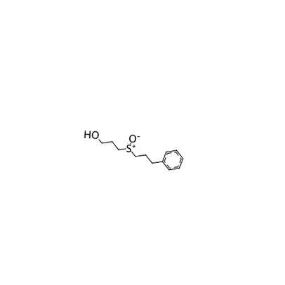 [O-][S+](CCCO)CCCc1ccccc1